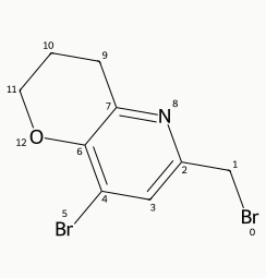 BrCc1cc(Br)c2c(n1)CCCO2